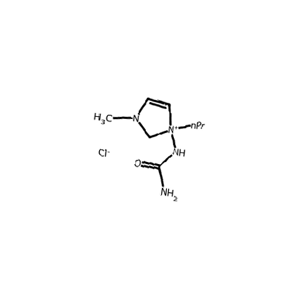 CCC[N+]1(NC(N)=O)C=CN(C)C1.[Cl-]